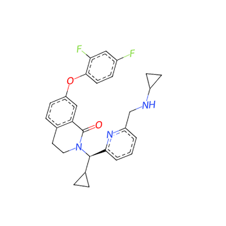 O=C1c2cc(Oc3ccc(F)cc3F)ccc2CCN1[C@@H](c1cccc(CNC2CC2)n1)C1CC1